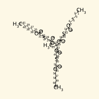 CCCCCCCCOC(=O)CCSCCC(=O)OCC(CC)(COC(=O)CCSCCC(=O)OCCCCCCCC)COC(=O)CCSCCC(=O)OCCCCCCCC